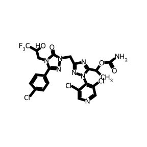 CC(OC(N)=O)c1nc(Cn2nc(-c3ccc(Cl)cc3)n(CC(O)C(F)(F)F)c2=O)nn1-c1c(Cl)cncc1Cl